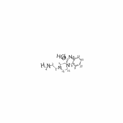 Cl.NCCN1CCN(c2ccccc2[N+](=O)[O-])CC1